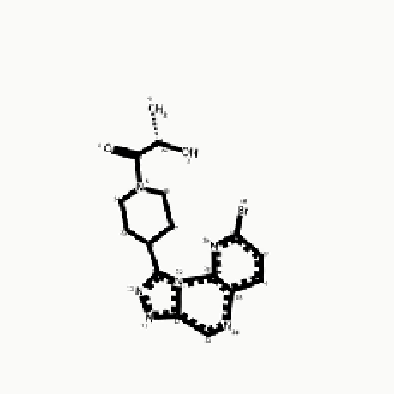 C[C@H](O)C(=O)N1CCC(c2nnc3cnc4ccc(Br)nc4n23)CC1